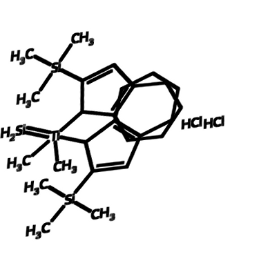 C[Si](C)(C)C1=CC2=C(CCCC2)[CH]1[Ti]([CH3])([CH3])(=[SiH2])[CH]1C([Si](C)(C)C)=CC2=C1CCCC2.Cl.Cl